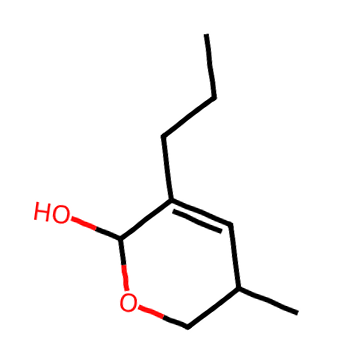 CCCC1=CC(C)COC1O